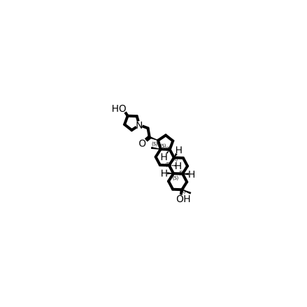 C[C@@]1(O)CC[C@H]2[C@H](CC[C@@H]3[C@@H]2CC[C@]2(C)[C@@H](C(=O)CN4CCC(O)C4)CC[C@@H]32)C1